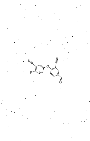 N#Cc1cc(Oc2ccc(C=O)cc2C#N)ccc1F